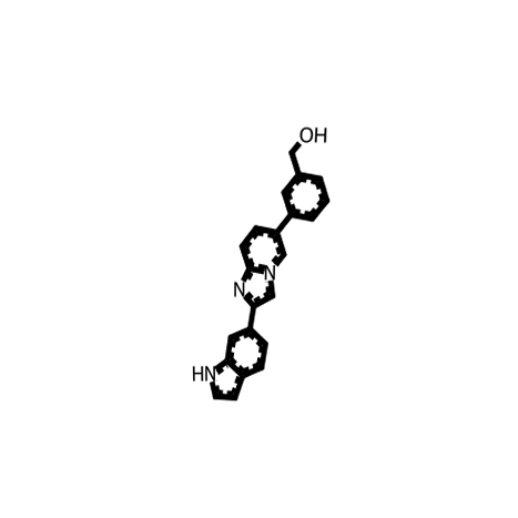 OCc1cccc(-c2ccc3nc(-c4ccc5cc[nH]c5c4)cn3c2)c1